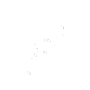 O=C(/C=C/c1cccnc1)NCC[C@@H]1[C@H]2CN(c3ccc4cnccc4c3)C[C@@H]12